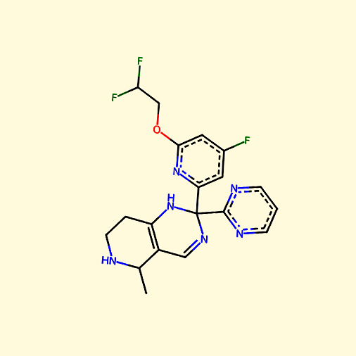 CC1NCCC2=C1C=NC(c1cc(F)cc(OCC(F)F)n1)(c1ncccn1)N2